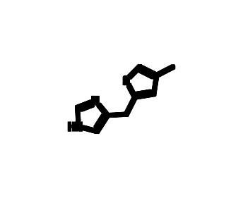 Cc1csc(Cc2c[nH]cn2)c1